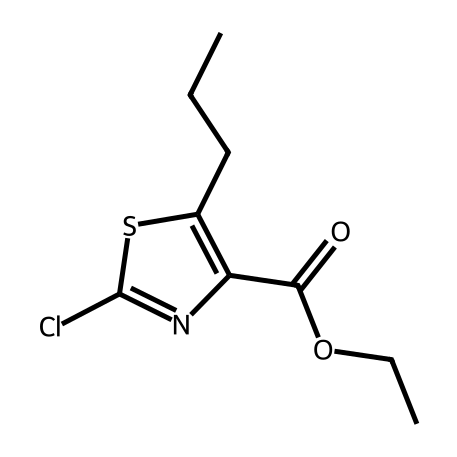 CCCc1sc(Cl)nc1C(=O)OCC